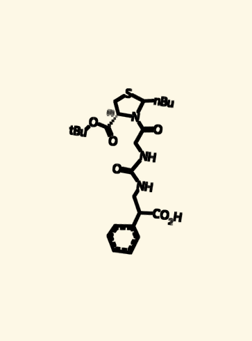 CCCCC1SC[C@@H](C(=O)OC(C)(C)C)N1C(=O)CNC(=O)NCC(C(=O)O)c1ccccc1